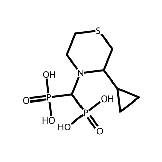 O=P(O)(O)C(N1CCSCC1C1CC1)P(=O)(O)O